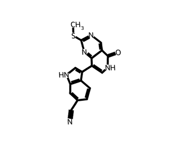 CSc1ncc2c(=O)[nH]cc(-c3c[nH]c4cc(C#N)ccc34)c2n1